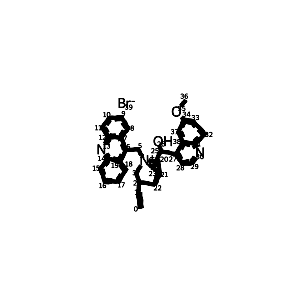 C=CC1C[N+]2(Cc3c4ccccc4nc4ccccc34)CCC1CC2C(O)c1ccnc2ccc(OC)cc12.[Br-]